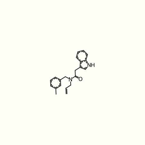 C=CCN(Cc1cccc(C)c1)C(=O)Cc1c[nH]c2ccccc12